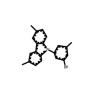 Cc1cc(Br)cc(-n2c3ccc(C)cc3c3cc(C)ccc32)c1